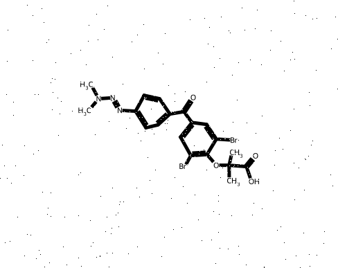 CN(C)N=Nc1ccc(C(=O)c2cc(Br)c(OC(C)(C)C(=O)O)c(Br)c2)cc1